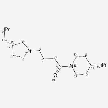 CC(C)C[C@H]1CCN(CCCC(=O)N2CCC(C(C)C)CC2)C1